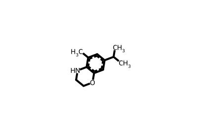 Cc1cc(C(C)C)cc2c1NCCO2